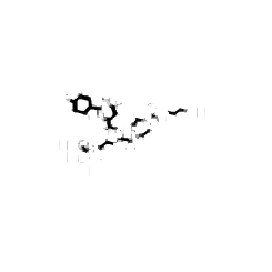 CCCCOC(=O)N1CCN(C(=O)[C@H](CCC(=O)OC(C)(C)C)NC(=O)c2cc(Cl)nc(-c3ccc(F)cc3)n2)CC1